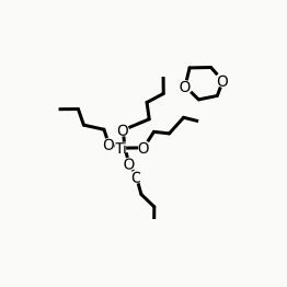 C1COCCO1.CCCC[O][Ti]([O]CCCC)([O]CCCC)[O]CCCC